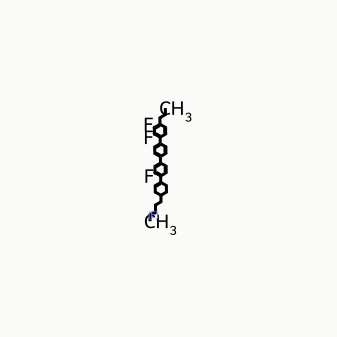 C/C=C/CCC1CC=C(c2ccc(-c3ccc(-c4ccc(CCC)c(F)c4F)cc3)cc2F)CC1